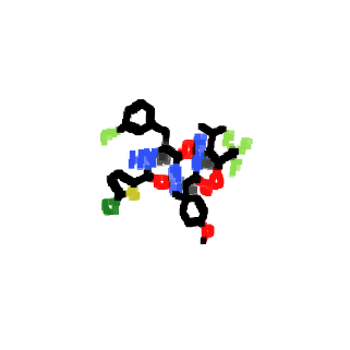 COC1=CCC(C)([C@H](NC(=O)[C@H](Cc2cccc(F)c2)NC(=O)c2ccc(Cl)s2)C(=O)N[C@H](C(=O)C(F)(F)F)C(C)C)C=C1